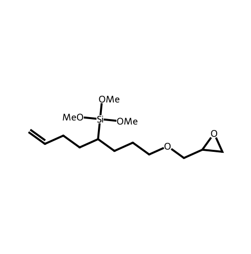 C=CCCC(CCCOCC1CO1)[Si](OC)(OC)OC